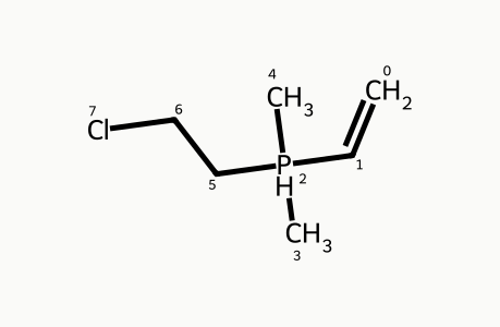 C=C[PH](C)(C)CCCl